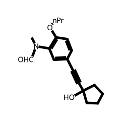 CCCOc1ccc(C#CC2(O)CCCC2)cc1N(C)C=O